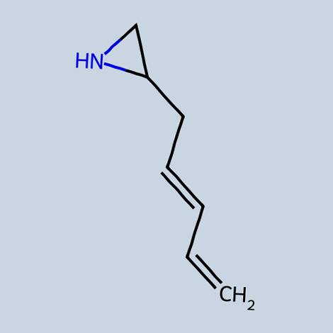 C=CC=CCC1CN1